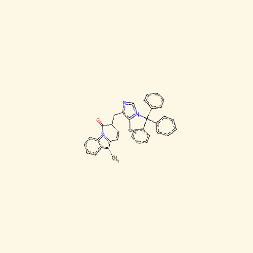 Cc1c2n(c3ccccc13)C(=O)C(Cc1ncn(C(c3ccccc3)(c3ccccc3)c3ccccc3)c1C)C=C2